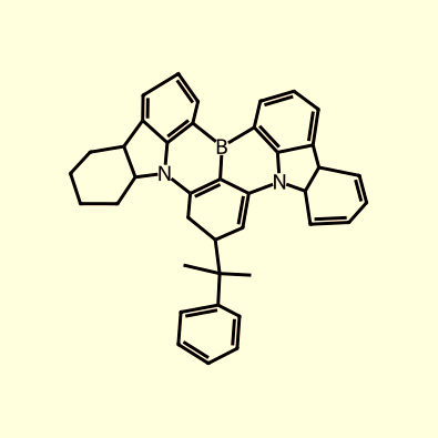 CC(C)(c1ccccc1)C1C=C2C3=C(C1)N1c4c(cccc4C4CCCCC41)B3c1cccc3c1N2C1C=CC=CC31